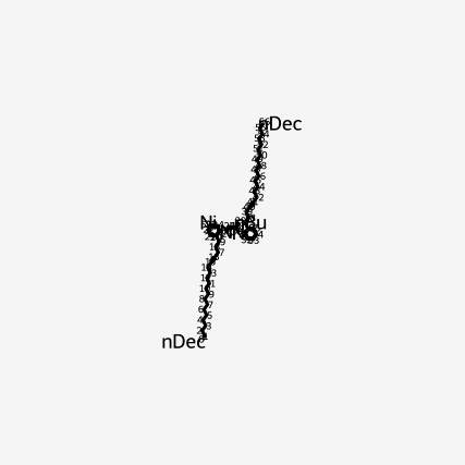 CCCCCCCCCCCCCCCCCCCCCCCCC#CCCCc1ccccc1N=CC(CCCC)=Nc1ccccc1CCCC#CCCCCCCCCCCCCCCCCCCCCCCCC.[Ni]